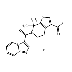 CC1(C)c2scc(C(=O)[O-])c2CCN1C(=O)c1cnc2ccccn12.[Li+]